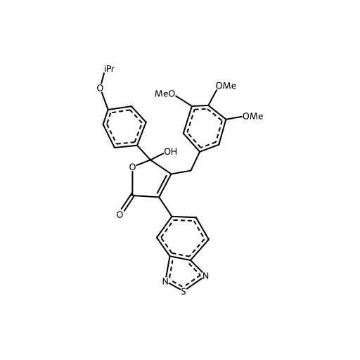 COc1cc(CC2=C(c3ccc4nsnc4c3)C(=O)OC2(O)c2ccc(OC(C)C)cc2)cc(OC)c1OC